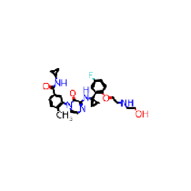 Cc1ccc(C(=O)NC2CC2)cc1-n1ccnc(NC2(c3cc(F)ccc3OCCNCCO)CC2)c1=O